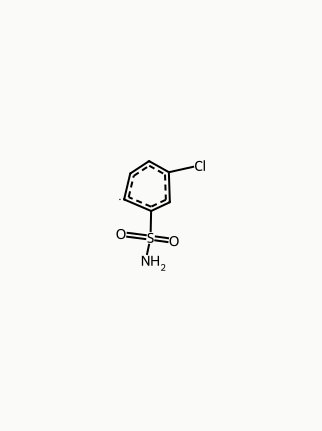 NS(=O)(=O)c1[c]ccc(Cl)c1